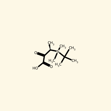 C[C@H](C(=O)C(=O)O)[Si](C)(C)C(C)(C)C